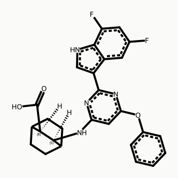 O=C(O)[C@@H]1C2CCC(CC2)[C@@H]1Nc1cc(Oc2ccccc2)nc(-c2c[nH]c3c(F)cc(F)cc23)n1